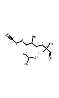 C#CCOCC(O)COC(C)(C)C=C.OP(Cl)Cl